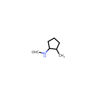 CC1CCCC1N[C]=O